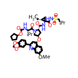 C=C[C@@H]1C[C@]1(NC(=O)[C@@H]1C[C@@H](Oc2cc(-c3ccc4c(c3)OCO4)nc3cc(OC)ccc23)CN1C(=O)[C@@H](NC(=O)OC1CCCC1)C(C)C)C(=O)NS(=O)(=O)CC(C)C